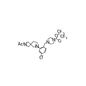 CC(=O)N1CC2(CCN(c3cc(Cl)ccc3CN3CCN(C(=O)OC(C(F)(F)F)C(F)(F)F)CC3)C2)C1